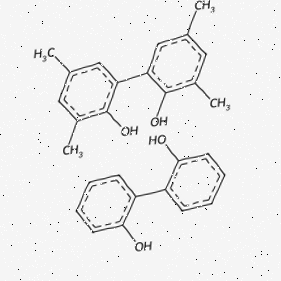 Cc1cc(C)c(O)c(-c2cc(C)cc(C)c2O)c1.Oc1ccccc1-c1ccccc1O